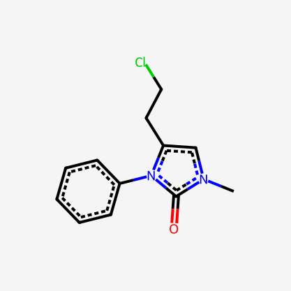 Cn1cc(CCCl)n(-c2ccccc2)c1=O